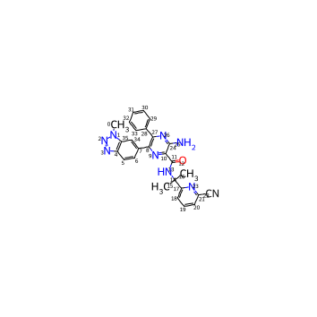 Cn1nnc2ccc(-c3nc(C(=O)NC(C)(C)c4cccc(C#N)n4)c(N)nc3-c3ccccc3)cc21